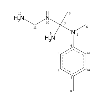 Cc1ccc(N(C)C(C)(N)NCN)cc1